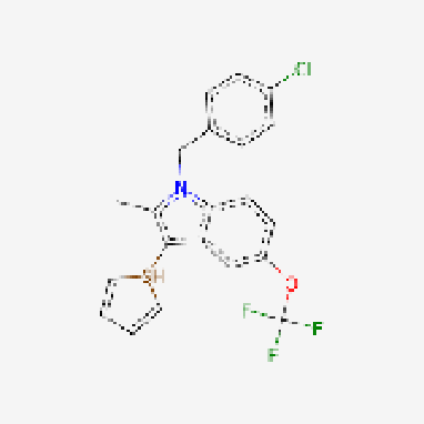 Cc1c([SH]2C=CC=C2)c2cc(OC(F)(F)F)ccc2n1Cc1ccc(Cl)cc1